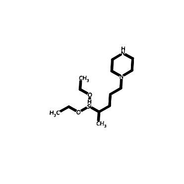 CCO[SiH](OCC)C(C)CCCN1CCNCC1